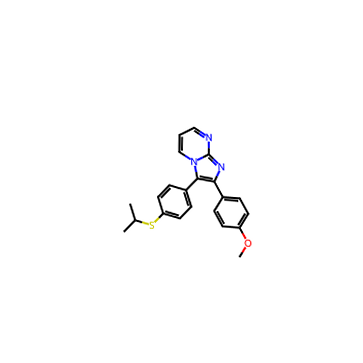 COc1ccc(-c2nc3ncccn3c2-c2ccc(SC(C)C)cc2)cc1